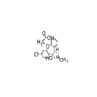 CC(=O)O.CN1C[C@@H]2c3ccccc3Oc3cc(Cl)ccc3[C@]2(O)C1